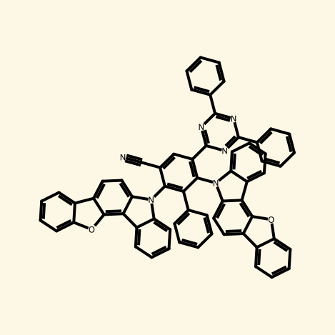 N#Cc1cc(-c2nc(-c3ccccc3)nc(-c3ccccc3)n2)c(-n2c3ccccc3c3c4oc5ccccc5c4ccc32)c(-c2ccccc2)c1-n1c2ccccc2c2c3oc4ccccc4c3ccc21